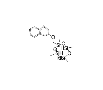 C[SiH]1O[SiH](C)O[Si](C)(COc2ccc3ccccc3c2)O[SiH](C)O1